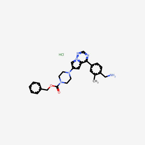 Cc1cc(-c2ncnn3cc(N4CCN(C(=O)OCc5ccccc5)CC4)cc23)ccc1CN.Cl